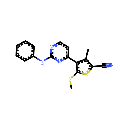 CSc1sc(C#N)c(C)c1-c1ccnc(Nc2ccccc2)n1